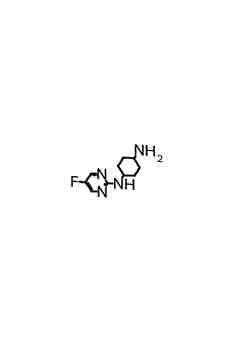 NC1CCC(Nc2ncc(F)cn2)CC1